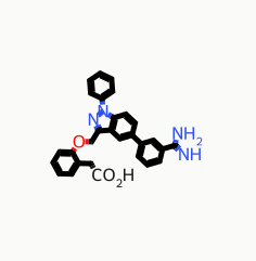 N=C(N)c1cccc(-c2ccc3c(c2)c(COc2ccccc2CC(=O)O)nn3-c2ccccc2)c1